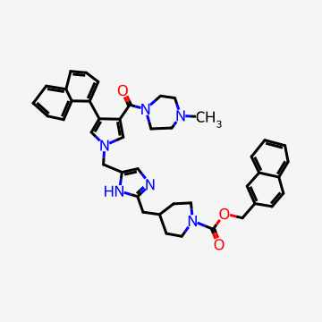 CN1CCN(C(=O)c2cn(Cc3cnc(CC4CCN(C(=O)OCc5ccc6ccccc6c5)CC4)[nH]3)cc2-c2cccc3ccccc23)CC1